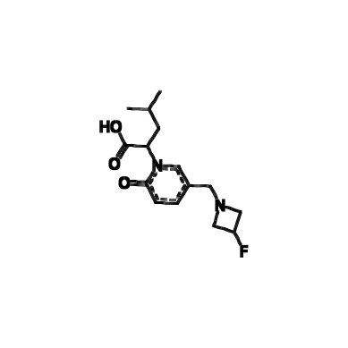 CC(C)CC(C(=O)O)n1cc(CN2CC(F)C2)ccc1=O